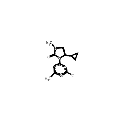 Cc1cc(N2C(=O)N(C)CC2C2CC2)nc(Cl)n1